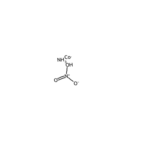 N.O=[N+]([O-])O.[Co]